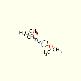 CC(C)OC1CCN(CCCC(=O)C(C)(C)C)CC1